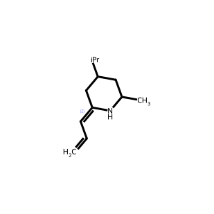 C=C/C=C1/CC(C(C)C)CC(C)N1